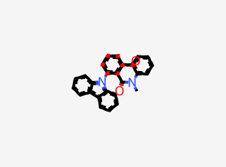 CN(C(=O)c1c(C=O)cccc1-n1c2ccccc2c2ccccc21)c1ccccc1-c1ccccc1